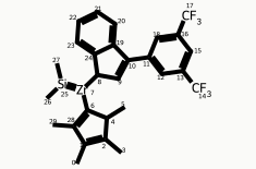 CC1=C(C)C(C)[C]([Zr]([CH]2C=C(c3cc(C(F)(F)F)cc(C(F)(F)F)c3)c3ccccc32)=[Si](C)C)=C1C